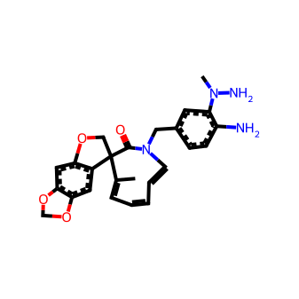 C\C1=C/C=C\C=C\N(Cc2ccc(N)c(N(C)N)c2)C(=O)C12COc1cc3c(cc12)OCO3